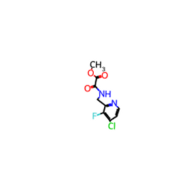 COC(=O)C(=O)NCc1nccc(Cl)c1F